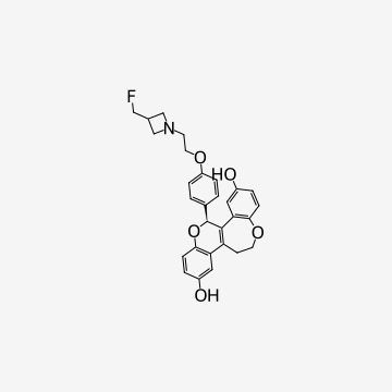 Oc1ccc2c(c1)C1=C(c3cc(O)ccc3OCC1)[C@H](c1ccc(OCCN3CC(CF)C3)cc1)O2